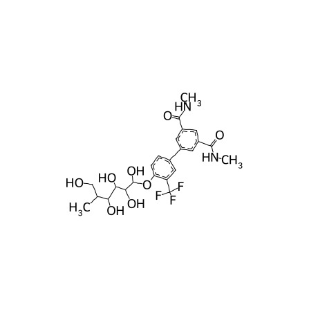 CNC(=O)c1cc(C(=O)NC)cc(-c2ccc(OC(O)C(O)C(O)C(O)C(C)CO)c(C(F)(F)F)c2)c1